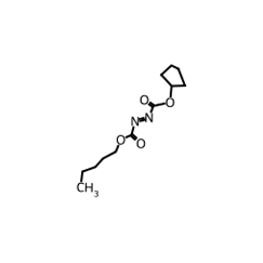 CCCCCOC(=O)/N=N/C(=O)OC1CCCC1